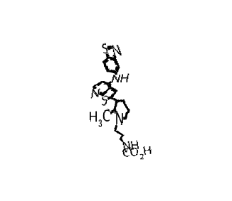 CC1C(c2cc3c(Nc4ccc5scnc5c4)ccnc3s2)CCCN1CCCNC(=O)O